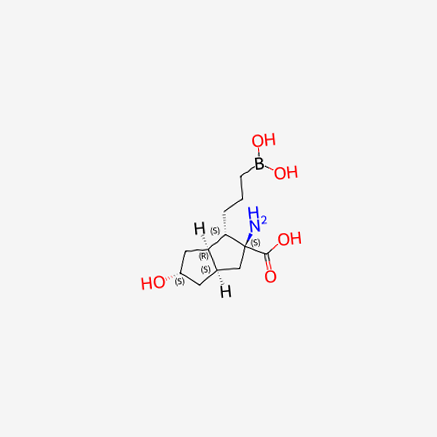 N[C@@]1(C(=O)O)C[C@H]2C[C@H](O)C[C@H]2[C@@H]1CCCB(O)O